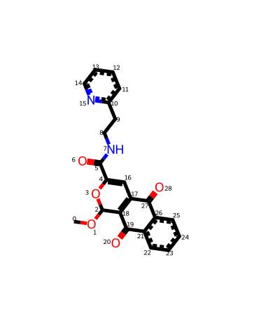 COC1OC(C(=O)NCCc2ccccn2)=CC2=C1C(=O)c1ccccc1C2=O